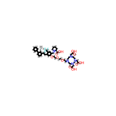 Cc1c(/C=C/c2cc(OCCOCCOCCN3CCN(CC(=O)O)CCN(CC(=O)O)CN(CC(=O)O)CC3)c(CN3CCCC[C@H]3C(=O)O)cc2C(F)(F)F)cccc1-c1ccccc1